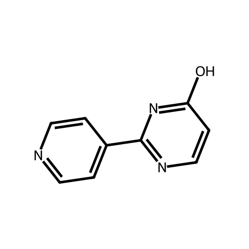 Oc1ccnc(-c2ccncc2)n1